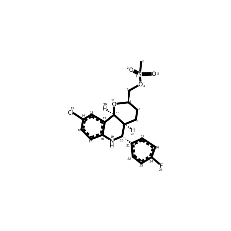 CS(=O)(=O)OC[C@H]1CC[C@@H]2[C@H](O1)c1cc(Cl)ccc1N[C@H]2c1ccc(F)cc1